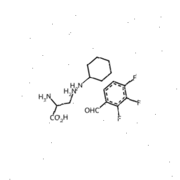 NC1CCCCC1.NCC(N)C(=O)O.O=Cc1ccc(F)c(F)c1F